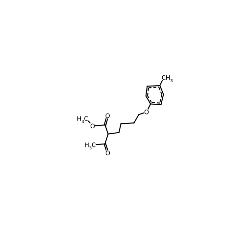 COC(=O)C(CCCCOc1ccc(C)cc1)C(C)=O